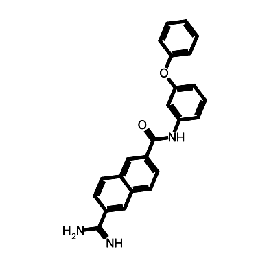 N=C(N)c1ccc2cc(C(=O)Nc3cccc(Oc4ccccc4)c3)ccc2c1